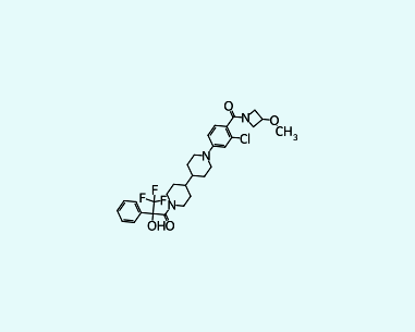 COC1CN(C(=O)c2ccc(N3CCC(C4CCN(C(=O)C(O)(c5ccccc5)C(F)(F)F)CC4)CC3)cc2Cl)C1